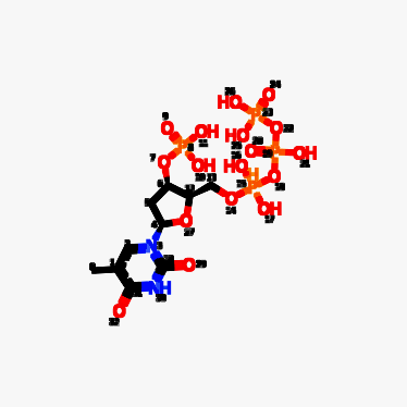 Cc1cn([C@H]2C[C@@H](OP(=O)(O)O)[C@@H](CO[PH](O)(O)OP(=O)(O)OP(=O)(O)O)O2)c(=O)[nH]c1=O